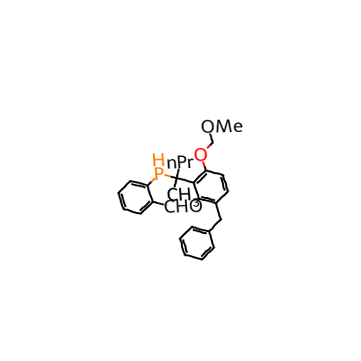 CCCC(C)(Pc1ccccc1C=O)c1cc(Cc2ccccc2)ccc1OCOC